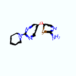 Nc1ncc(Oc2cnc(N3CCCCC3)nc2)s1